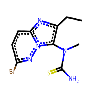 CCc1nc2ccc(Br)nn2c1N(C)C(N)=S